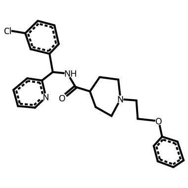 O=C(NC(c1cccc(Cl)c1)c1ccccn1)C1CCN(CCOc2ccccc2)CC1